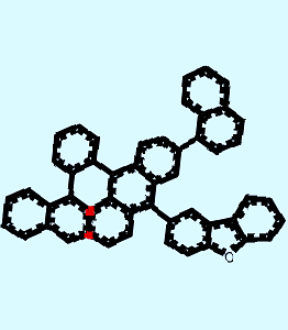 c1ccc(-c2c3ccccc3c(-c3ccc4oc5ccccc5c4c3)c3cc(-c4cccc5ccccc45)ccc23)c(-c2cccc3ccccc23)c1